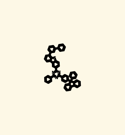 c1ccc(-c2cccc(-c3cccc4c3sc3ccc(-c5nc(-c6ccccc6)nc(-c6ccc(C7(c8ccccc8)c8ccccc8-c8ccccc87)cc6)n5)cc34)c2)cc1